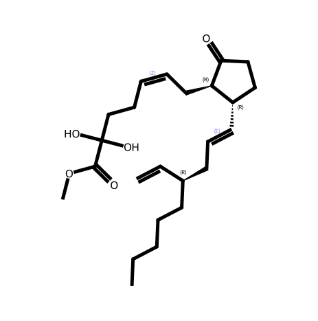 C=C[C@@H](C/C=C/[C@H]1CCC(=O)[C@@H]1C/C=C\CCC(O)(O)C(=O)OC)CCCCC